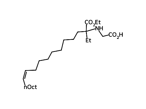 CCCCCCCC/C=C\CCCCCCCCC(CC)(NCC(=O)O)C(=O)OCC